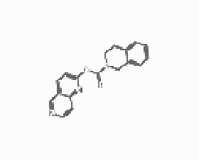 O=C(Oc1ccc2cnccc2n1)N1CCc2ccccc2C1